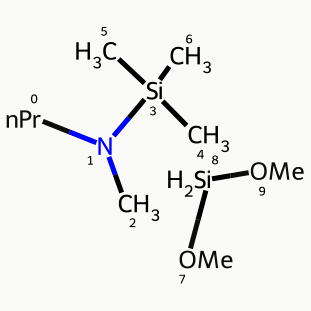 CCCN(C)[Si](C)(C)C.CO[SiH2]OC